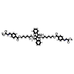 COC(=O)/C=C/c1ccc(C(=O)OCCCCCCOC(=O)C(C(=O)OCCCCCCOC(=O)c2ccc(/C=C/C(=O)OC)cc2)(C(N)c2ccccc2)C(N)c2ccccc2)cc1